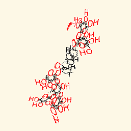 C[C@@H]1O[C@@H](O[C@H]2[C@H](OC(=O)[C@]34CCC(C)(C)C[C@H]3C3=CC[C@@H]5[C@@]6(C)CC[C@H](O[C@@H]7O[C@H](CO)[C@@H](O)[C@H](O)[C@H]7O[C@@H]7O[C@H](CO)[C@@H](O)[C@H](O)[C@H]7O)C(C)(C)[C@@H]6CC[C@@]5(C)[C@]3(C)CC4)OC[C@H](O)[C@@H]2O)[C@H](O)[C@H](O[C@@H]2OC[C@@H](O)[C@H](O)[C@H]2O)[C@H]1O[C@@H]1OC[C@@H](O)[C@H](O)[C@H]1O